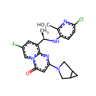 C[C@@H](Nc1ccc(Cl)nc1C(=O)O)c1cc(F)cn2c(=O)cc(N3CC4CC4C3)nc12